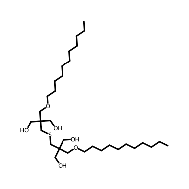 CCCCCCCCCCCOCC(CO)(CO)CSCC(CO)(CO)COCCCCCCCCCCC